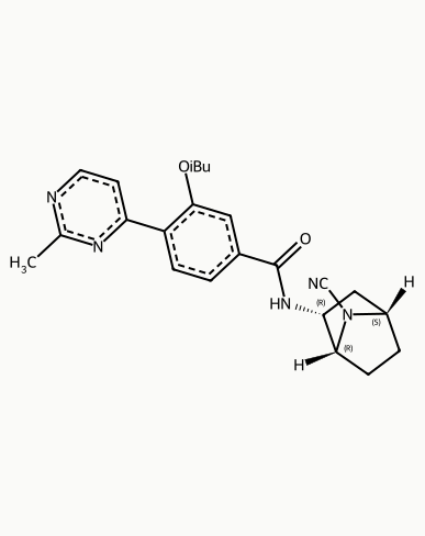 Cc1nccc(-c2ccc(C(=O)N[C@@H]3C[C@@H]4CC[C@H]3N4C#N)cc2OCC(C)C)n1